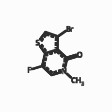 Cn1cc(F)c2scc(Br)c2c1=O